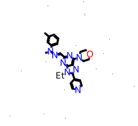 CCn1c(-c2ccncc2)nc2c(N3CCOCC3)nc(/C=N/N(C)c3cccc(C)c3)nc21